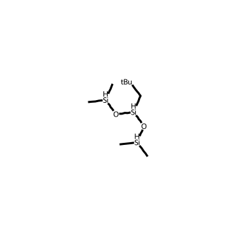 C[SiH](C)O[SiH](CC(C)(C)C)O[SiH](C)C